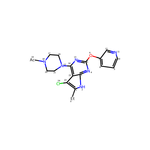 CCc1[nH]c2nc(Oc3cccnc3)nc(N3CCN(C(C)=O)CC3)c2c1Cl